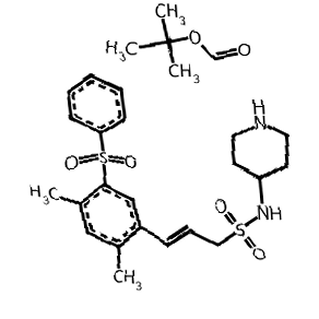 CC(C)(C)OC=O.Cc1cc(C)c(S(=O)(=O)c2ccccc2)cc1C=CCS(=O)(=O)NC1CCNCC1